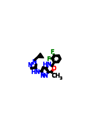 CC(=O)c1nnc(Nc2cnn(CC3CC3)c2)cc1NCc1cccc(F)c1F